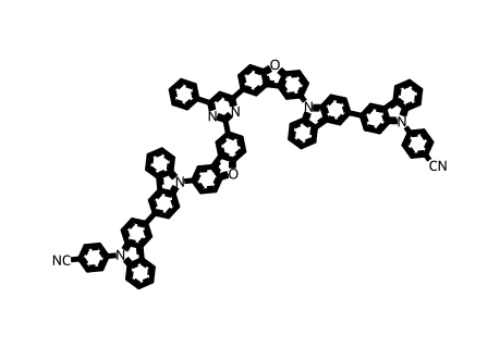 N#Cc1ccc(-n2c3ccccc3c3cc(-c4ccc5c(c4)c4ccccc4n5-c4ccc5oc6ccc(-c7cc(-c8ccccc8)nc(-c8ccc9oc%10ccc(-n%11c%12ccccc%12c%12cc(-c%13ccc%14c(c%13)c%13ccccc%13n%14-c%13ccc(C#N)cc%13)ccc%12%11)cc%10c9c8)n7)cc6c5c4)ccc32)cc1